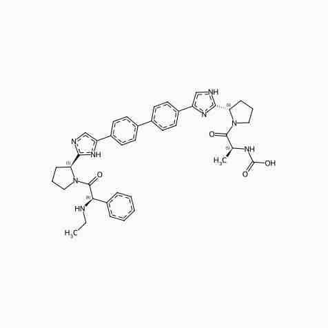 CCN[C@@H](C(=O)N1CCC[C@H]1c1ncc(-c2ccc(-c3ccc(-c4c[nH]c([C@@H]5CCCN5C(=O)[C@H](C)NC(=O)O)n4)cc3)cc2)[nH]1)c1ccccc1